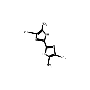 O=[N+]([O-])c1nc(-c2nc([N+](=O)[O-])c([N+](=O)[O-])[nH]2)[nH]c1[N+](=O)[O-]